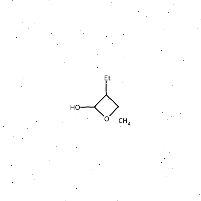 C.CCC1COC1O